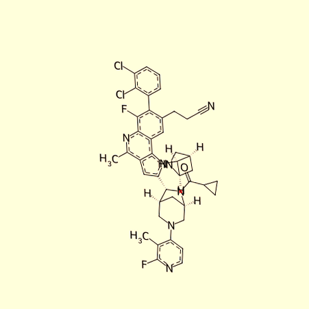 Cc1c(N2C[C@@H]3C[C@H](C2)N(C(=O)C2CC2)[C@H]3c2cc3c(C)nc4c(F)c(-c5cccc(Cl)c5Cl)c(CCC#N)cc4c3n2[C@H]2[C@H]3CN[C@@H]2C3)ccnc1F